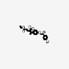 CCOC(=O)CCc1c(C)c2ccc(OCC(=O)c3ccc(OC)cc3)cc2oc1=O